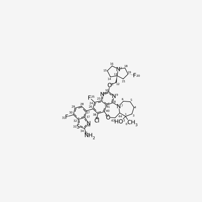 CC1(O)CCCCN2c3nc(OC[C@@]45CCCN4C[C@H](F)C5)nc4c(F)c(-c5ccc(F)c6sc(N)nc56)c(Cl)c(c34)OCC21